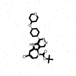 CC(C)(C)OC(=O)N1CC=C(Cl)C=c2[nH]c3c(c21)CN=NC=3[C@H]1CC[C@@H](OC2CCOCC2)CC1